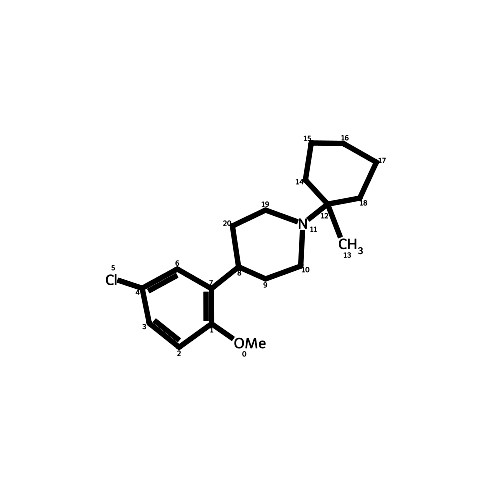 COc1ccc(Cl)cc1C1CCN(C2(C)CCCCC2)CC1